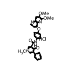 COc1cc2nccc(Oc3ccc(NC(=O)c4cn(C)cc(-c5ccccc5)c4=O)cc3)c2nc1OC.Cl